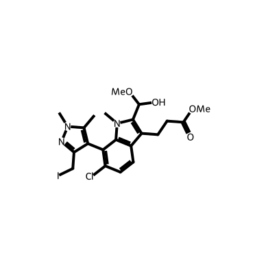 COC(=O)CCc1c(C(O)OC)n(C)c2c(-c3c(CI)nn(C)c3C)c(Cl)ccc12